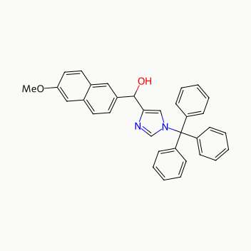 COc1ccc2cc(C(O)c3cn(C(c4ccccc4)(c4ccccc4)c4ccccc4)cn3)ccc2c1